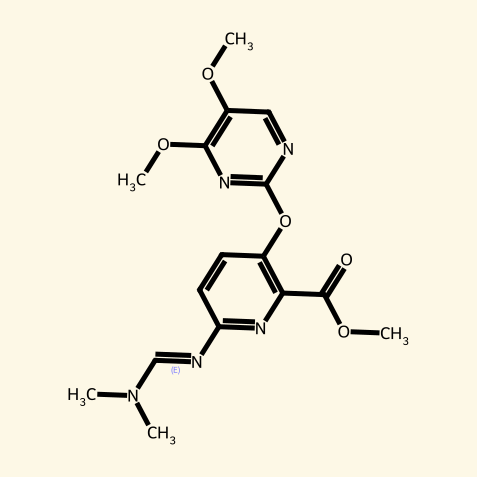 COC(=O)c1nc(/N=C/N(C)C)ccc1Oc1ncc(OC)c(OC)n1